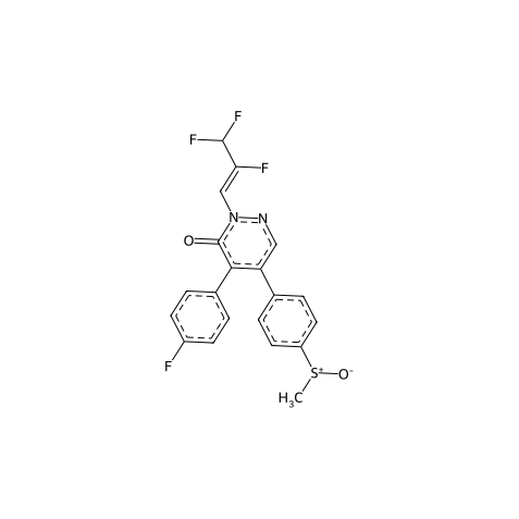 C[S+]([O-])c1ccc(-c2cnn(/C=C(\F)C(F)F)c(=O)c2-c2ccc(F)cc2)cc1